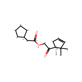 CC1(C)C=CC[C@]1(C)C(=O)COC(=O)CC1CCCC1